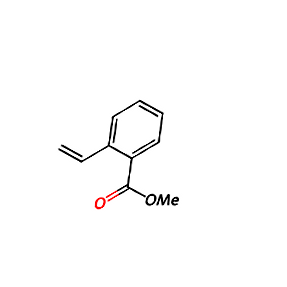 C=Cc1ccccc1C(=O)OC